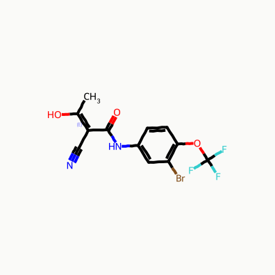 C/C(O)=C(/C#N)C(=O)Nc1ccc(OC(F)(F)F)c(Br)c1